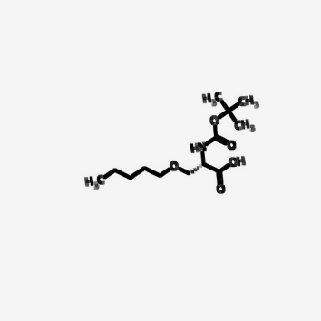 CCCCCOC[C@H](NC(=O)OC(C)(C)C)C(=O)O